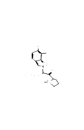 CCOC(=O)C(C(=O)C1CCCN1C)n1cc2ccc(Br)c(F)c2n1